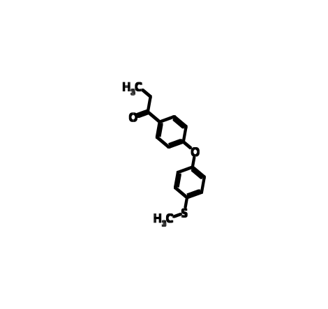 CCC(=O)c1ccc(Oc2ccc(SC)cc2)cc1